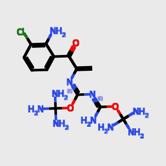 C=C(/N=C(\N=C(/N)OC(N)(N)N)OC(N)(N)N)C(=O)c1cccc(Cl)c1N